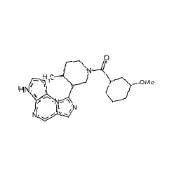 COC1CCCC(C(=O)N2CCC(C)C(c3ncc4cnc5[nH]ccc5n34)C2)C1